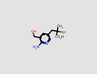 CC(S)(Cc1cnc(N)c(CO)c1)C(=O)O